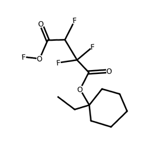 CCC1(OC(=O)C(F)(F)C(F)C(=O)OF)CCCCC1